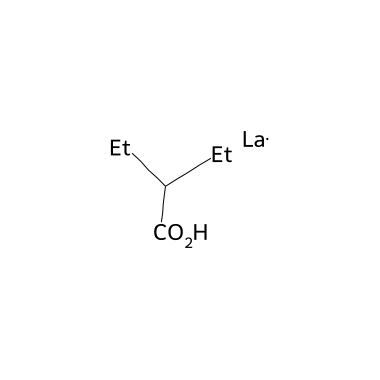 CCC(CC)C(=O)O.[La]